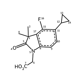 CC1(C)C(=O)N(CC(=O)O)c2ccc(C3CC3)c(F)c21